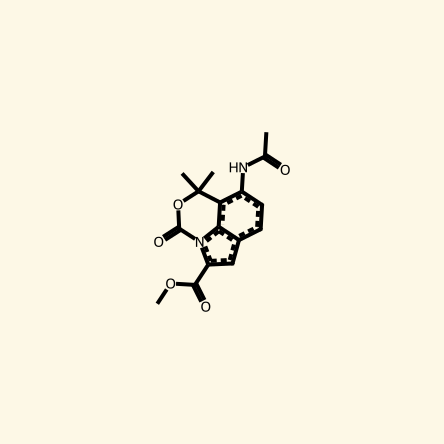 COC(=O)c1cc2ccc(NC(C)=O)c3c2n1C(=O)OC3(C)C